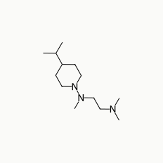 CC(C)C1CCN(N(C)CCN(C)C)CC1